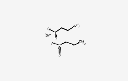 CCCS(=O)[O-].CCCS(=O)[O-].[Zn+2]